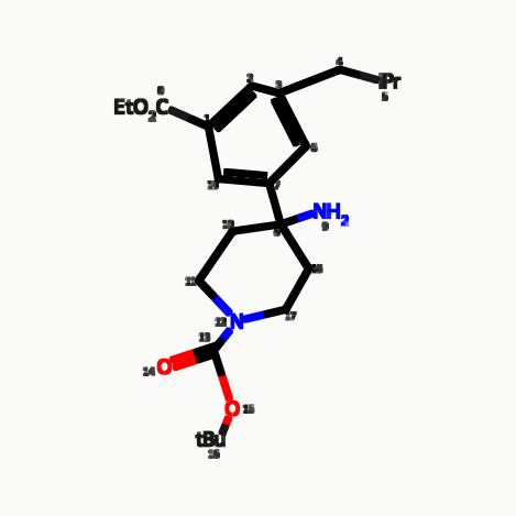 CCOC(=O)c1cc(CC(C)C)cc(C2(N)CCN(C(=O)OC(C)(C)C)CC2)c1